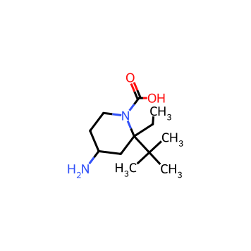 CCC1(C(C)(C)C)CC(N)CCN1C(=O)O